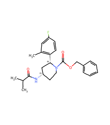 Cc1cc(F)ccc1[C@H]1C[C@@H](NC(=O)C(C)C)CCN1C(=O)OCc1ccccc1